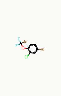 FC(F)(Br)Oc1ccc(Br)cc1Cl